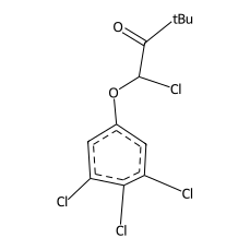 CC(C)(C)C(=O)C(Cl)Oc1cc(Cl)c(Cl)c(Cl)c1